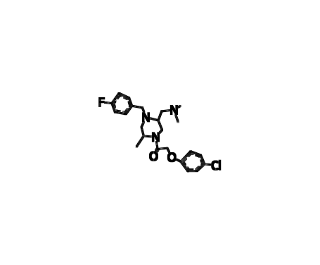 CC1CN(Cc2ccc(F)cc2)C(CN(C)C)CN1C(=O)COc1ccc(Cl)cc1